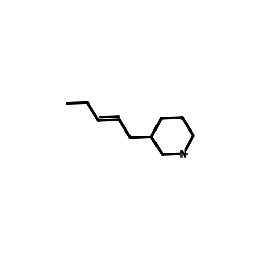 CCC=CCC1CCC[N]C1